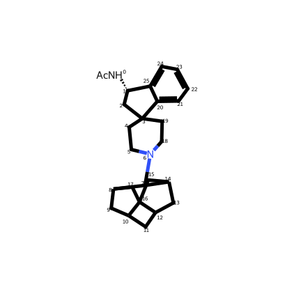 CC(=O)N[C@H]1CC2(CCN(C3C4CC5CC6CC3CC56C4)CC2)c2ccccc21